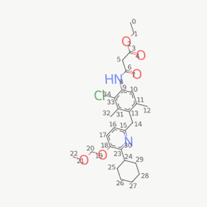 CCOC(=O)CC(=O)Nc1cc(C)c(Cc2ccc(OCOC)c(C3CCCCC3)n2)c(C)c1Cl